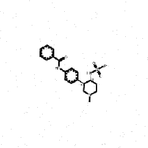 CC(C)S(=O)(=O)N[C@@H]1CCN(C)C[C@H]1c1ccc(NC(=O)c2ccccc2)cc1